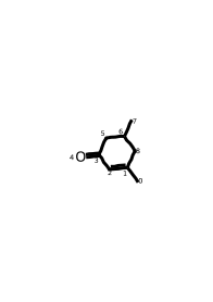 CC1=CC(=O)CC(C)C1